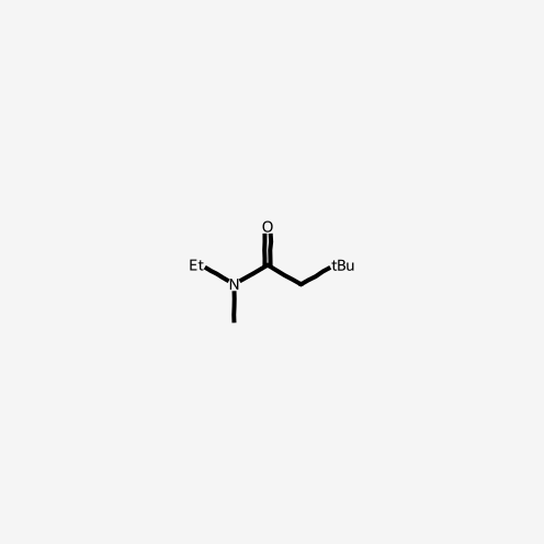 CCN(C)C(=O)CC(C)(C)C